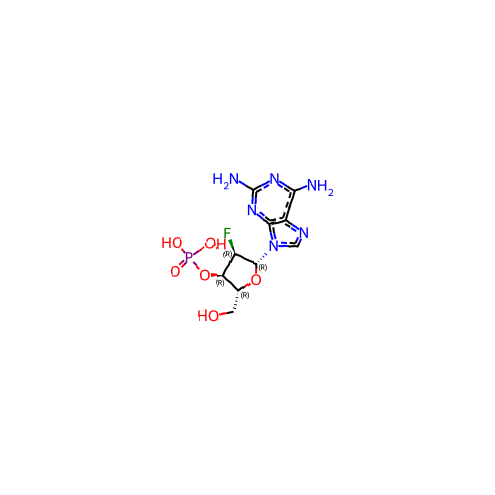 Nc1nc(N)c2ncn([C@@H]3O[C@H](CO)[C@@H](OP(=O)(O)O)[C@H]3F)c2n1